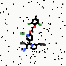 COCC1CCCN(C(c2ccc(OCCOc3c(Cl)cc(C)cc3Cl)nc2)C(C=O)CN)C1.Cl